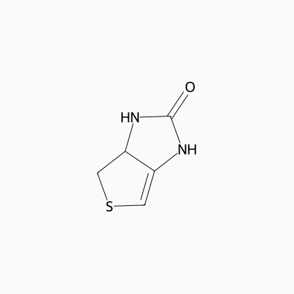 O=C1NC2=CSCC2N1